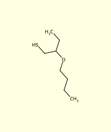 CCCCOC(CC)CS